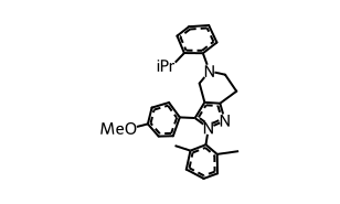 COc1ccc(-c2c3c(nn2-c2c(C)cccc2C)CCN(c2ccccc2C(C)C)C3)cc1